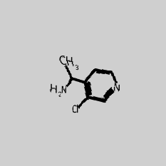 CC(N)c1ccncc1Cl